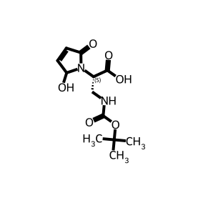 CC(C)(C)OC(=O)NC[C@@H](C(=O)O)N1C(=O)C=CC1O